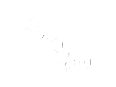 CC(C)(C)OC(=Cc1ccc(OCc2ccccc2)cc1)C(=O)O